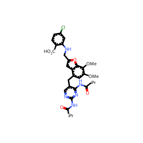 COc1cc(Cc2cnc(NC(=O)C(C)C)nc2NC(=O)C(C)C)c2cc(CNc3cc(Cl)ccc3C(=O)O)oc2c1OC